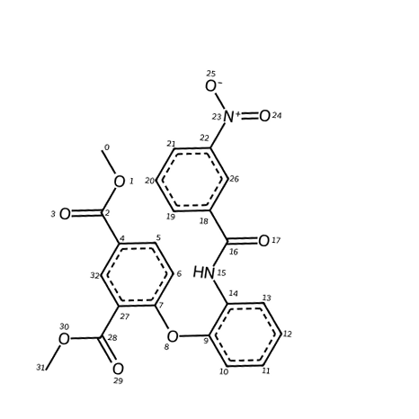 COC(=O)c1ccc(Oc2ccccc2NC(=O)c2cccc([N+](=O)[O-])c2)c(C(=O)OC)c1